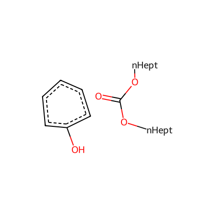 CCCCCCCOC(=O)OCCCCCCC.Oc1ccccc1